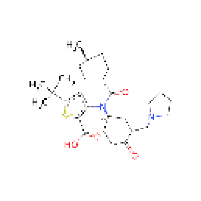 CC(C)(C)c1cc(N(C(=O)[C@H]2CC[C@H](C)CC2)[C@@H]2CCC(=O)C(CN3CCCC3)C2)c(C(=O)O)s1